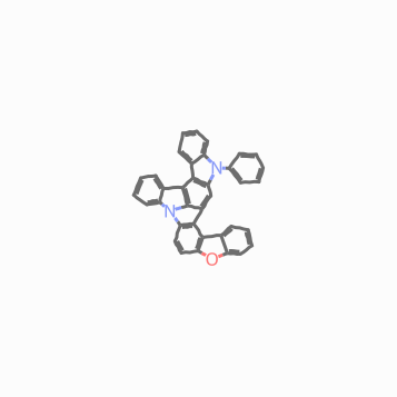 c1ccc(-n2c3ccccc3c3c4c5ccccc5n5c6ccc7oc8ccccc8c7c6c(cc32)c45)cc1